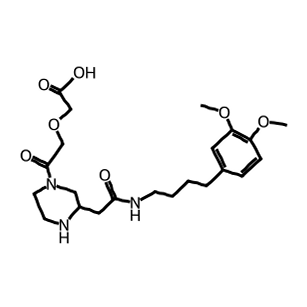 COc1ccc(CCCCNC(=O)CC2CN(C(=O)COCC(=O)O)CCN2)cc1OC